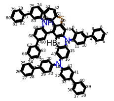 Cc1cc(-c2ccccc2)ccc1N1c2ccc(N(c3ccc(-c4ccccc4)cc3)c3ccc(-c4ccccc4)cc3)cc2Bc2c1cc1sc3ccccc3c1c2-c1cc(-c2ccccc2)ccc1Nc1cccc(-c2ccccc2)c1